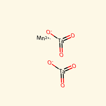 [Mn+2].[O]=[Ta](=[O])[O-].[O]=[Ta](=[O])[O-]